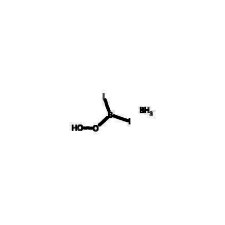 B.OOB(I)I